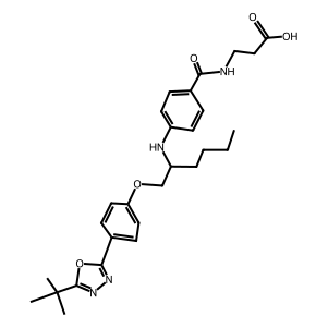 CCCCC(COc1ccc(-c2nnc(C(C)(C)C)o2)cc1)Nc1ccc(C(=O)NCCC(=O)O)cc1